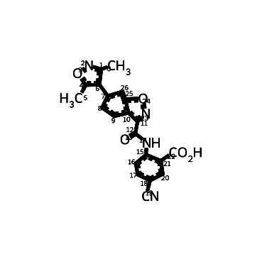 Cc1noc(C)c1-c1ccc2c(C(=O)Nc3ccc(C#N)cc3C(=O)O)noc2c1